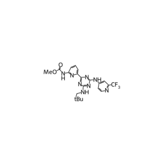 COC(=O)Nc1cccc(-c2nc(NCC(C)(C)C)nc(Nc3ccnc(C(F)(F)F)c3)n2)n1